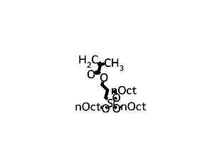 C=C(C)C(=O)OCCC[Si](OCCCCCCCC)(OCCCCCCCC)OCCCCCCCC